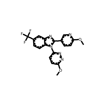 COc1ccc(-c2nc3cc(C(F)(F)F)ccc3n2-c2ccc(OC)nn2)cn1